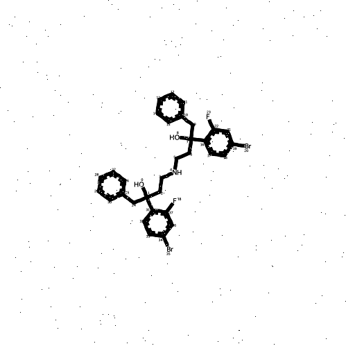 OC(CCNCCC(O)(Cc1ccccc1)c1ccc(Br)cc1F)(Cc1ccccc1)c1ccc(Br)cc1F